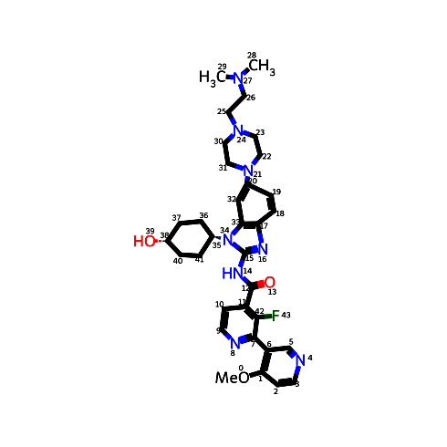 COc1ccncc1-c1nccc(C(=O)Nc2nc3ccc(N4CCN(CCN(C)C)CC4)cc3n2[C@H]2CC[C@@H](O)CC2)c1F